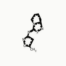 Cc1cc(N=c2snc3ccccn23)no1